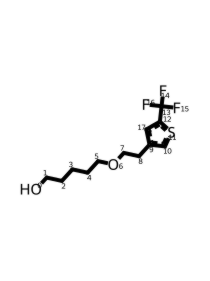 OCCCCCOCCc1csc(C(F)(F)F)c1